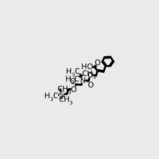 CC(C)(C)N(CC(=O)OCC[Si](C)(C)C)C(=O)OCC(=Cc1ccccc1)C(=O)O